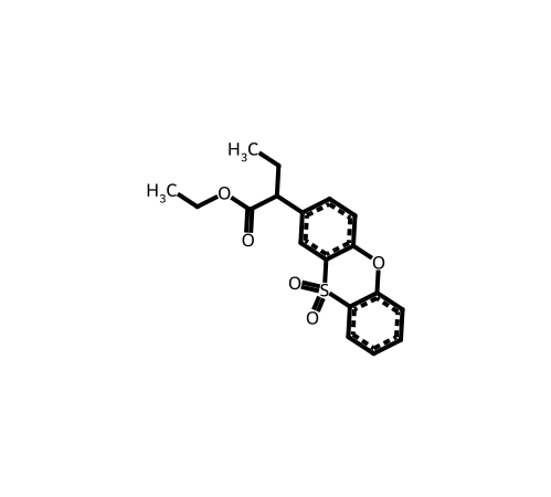 CCOC(=O)C(CC)c1ccc2c(c1)S(=O)(=O)c1ccccc1O2